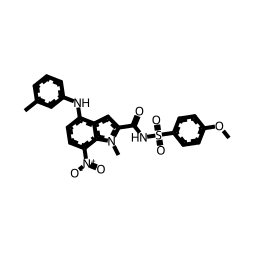 COc1ccc(S(=O)(=O)NC(=O)c2cc3c(Nc4cccc(C)c4)ccc([N+](=O)[O-])c3n2C)cc1